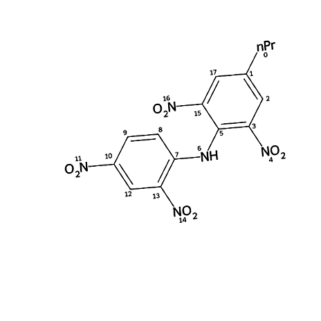 CCCc1cc([N+](=O)[O-])c(Nc2ccc([N+](=O)[O-])cc2[N+](=O)[O-])c([N+](=O)[O-])c1